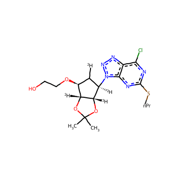 [2H]C1[C@H](OCCO)[C@@]2([2H])OC(C)(C)O[C@@]2([2H])[C@]1([2H])n1nnc2c(Cl)nc(SCCC)nc21